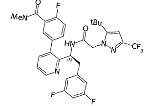 CNC(=O)c1cc(-c2cccnc2[C@H](Cc2cc(F)cc(F)c2)NC(=O)Cn2nc(C(F)(F)F)cc2C(C)(C)C)ccc1F